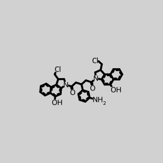 Nc1cccc(C(CC(=O)N2CC(CCl)c3c2cc(O)c2ccccc32)CC(=O)N2CC(CCl)c3c2cc(O)c2ccccc32)c1